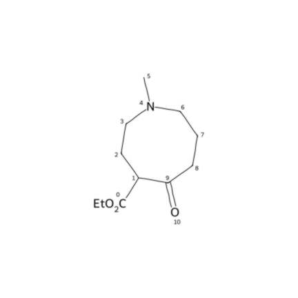 CCOC(=O)C1CCN(C)CCCC1=O